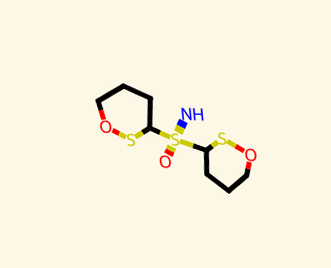 N=S(=O)(C1CCCOS1)C1CCCOS1